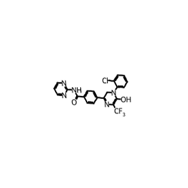 O=C(Nc1ncccn1)c1ccc(C2=NC(C(F)(F)F)=C(O)N(c3ccccc3Cl)C2)cc1